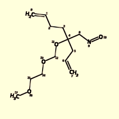 C=CCCC(CC=C)(CN=O)OCOCCOC